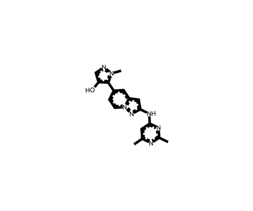 Cc1cc(Nc2cc3cc(-c4c(O)cnn4C)ccn3n2)nc(C)n1